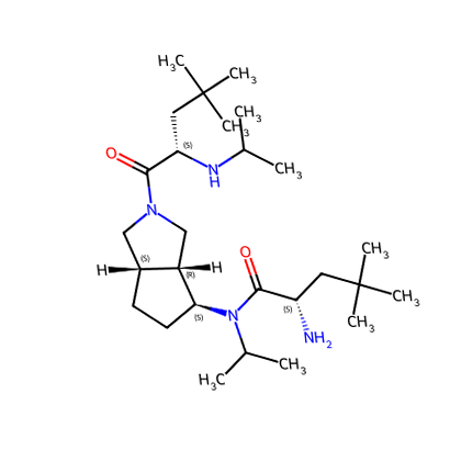 CC(C)N[C@@H](CC(C)(C)C)C(=O)N1C[C@H]2CC[C@H](N(C(=O)[C@@H](N)CC(C)(C)C)C(C)C)[C@H]2C1